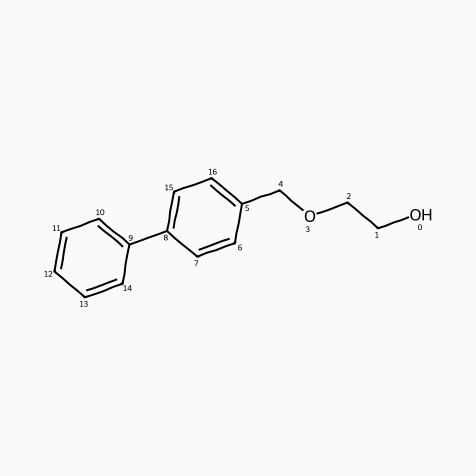 OCCOCc1ccc(-c2ccccc2)cc1